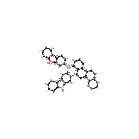 c1ccc2c(c1)ccc1c3cccc(N(c4ccc5c(c4)oc4ccccc45)c4ccc5oc6ccccc6c5c4)c3ccc21